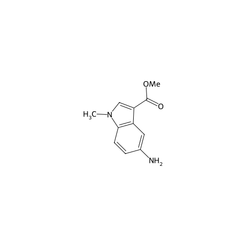 COC(=O)c1cn(C)c2ccc(N)cc12